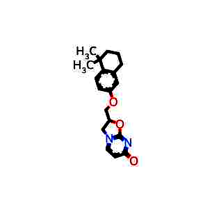 CC1(C)CCCc2cc(OCC3Cn4ccc(=O)nc4O3)ccc21